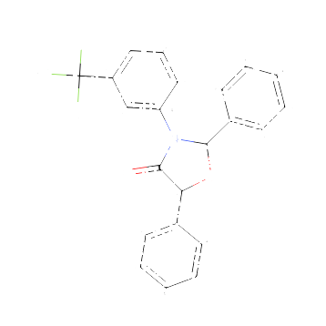 O=C1C(c2ccccc2)OC(c2ccccc2)N1c1cccc(C(F)(F)F)c1